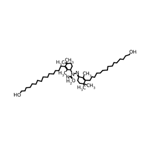 CC1=C(CCCCCCCCCCCCCCCO)C(C)(C)CCC1=NN(C(N)=O)C1CCC(C)(C)C(CCCCCCCCCCCCCCCO)=C1C